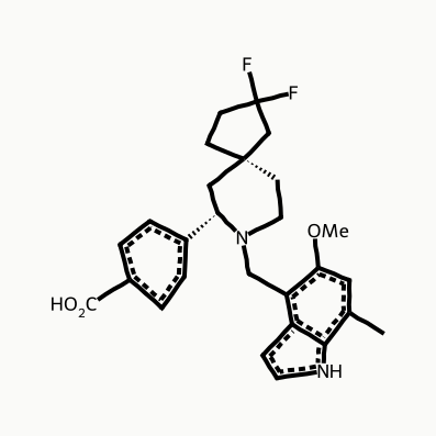 COc1cc(C)c2[nH]ccc2c1CN1CC[C@@]2(CCC(F)(F)C2)C[C@H]1c1ccc(C(=O)O)cc1